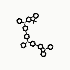 CC1(C)c2ccccc2-c2ccc(N(c3ccccc3)c3ccc(-c4ccc(N(c5ccccc5)c5ccc(-c6ccc7c(c6)c6ccccc6n7-c6ccccc6)cc5)cc4)cc3)cc21